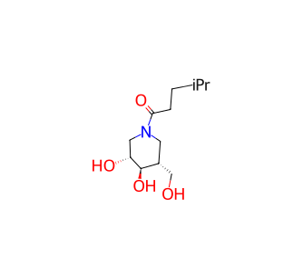 CC(C)CCC(=O)N1C[C@H](CO)[C@@H](O)[C@H](O)C1